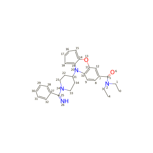 CCN(CC)C(=O)c1ccc2c(c1)Oc1ccccc1N2C1CCN(C(=N)c2ccccc2)CC1